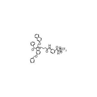 O=C(CCCn1c(COc2ccc3ccccc3c2)c(C(=O)c2ccccc2)c2cc(OCc3ccccc3)ccc21)Nc1cccc(C(=O)NS(=O)(=O)C(F)(F)F)c1